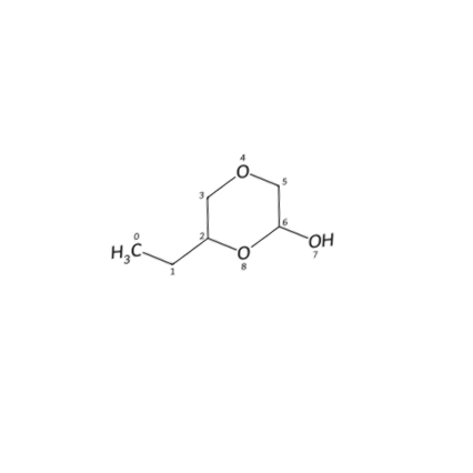 CCC1COCC(O)O1